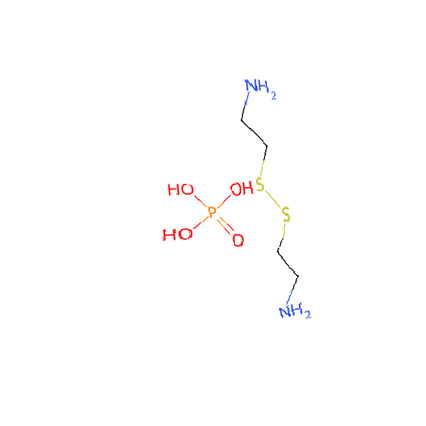 NCCSSCCN.O=P(O)(O)O